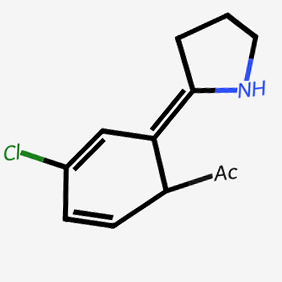 CC(=O)C1C=CC(Cl)=C/C1=C1\CCCN1